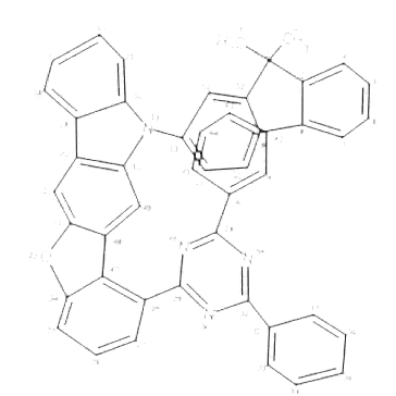 CC1(C)c2ccccc2-c2ccc(-n3c4ccccc4c4cc5oc6cccc(-c7nc(-c8ccccc8)nc(-c8ccccc8)n7)c6c5cc43)cc21